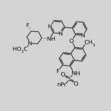 CCCS(=O)(=O)Nc1c(F)ccc2c(Oc3ncccc3-c3ccnc(N[C@H]4C[C@@H](F)CN(C(=O)O)C4)n3)c(C)ccc12